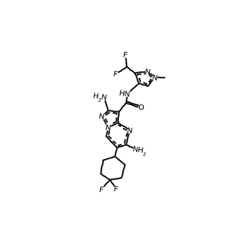 Cn1cc(NC(=O)c2c(N)nn3cc(C4CCC(F)(F)CC4)c(N)nc23)c(C(F)F)n1